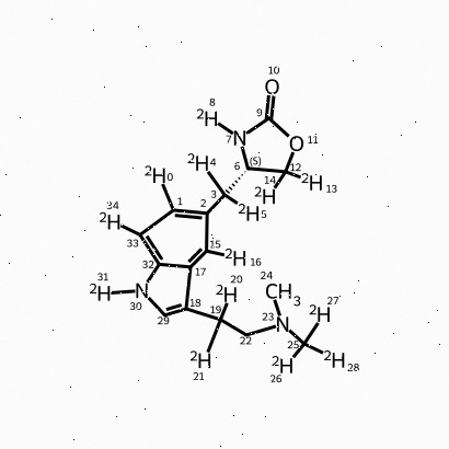 [2H]c1c(C([2H])([2H])[C@@H]2N([2H])C(=O)OC2([2H])[2H])c([2H])c2c(C([2H])([2H])CN(C)C([2H])([2H])[2H])cn([2H])c2c1[2H]